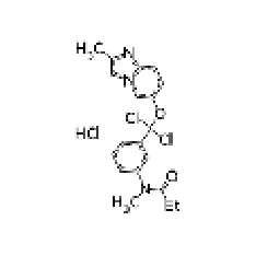 CCC(=O)N(C)c1cccc(C(Cl)(Cl)Oc2ccc3nc(C)cn3c2)c1.Cl